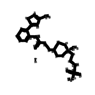 Cc1noc(-c2ccccc2NC(=O)OCC2CC[N+](C)(CCNS(C)(=O)=O)CC2)n1.[I-]